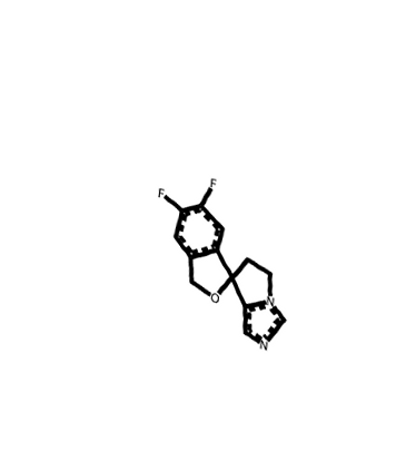 Fc1cc2c(cc1F)C1(CCn3cncc31)OC2